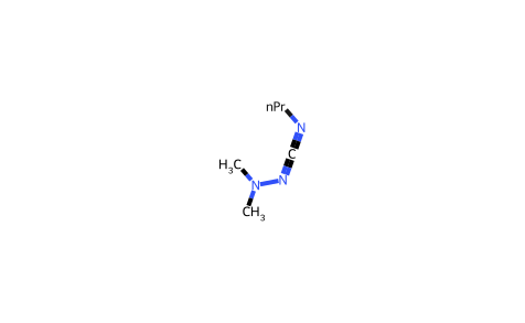 CCCN=C=NN(C)C